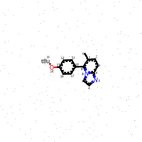 Cc1ccc2nccn2c1-c1ccc(OC(C)(C)C)cc1